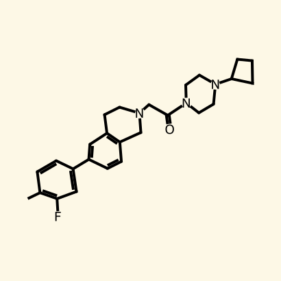 Cc1ccc(-c2ccc3c(c2)CCN(CC(=O)N2CCN(C4CCC4)CC2)C3)cc1F